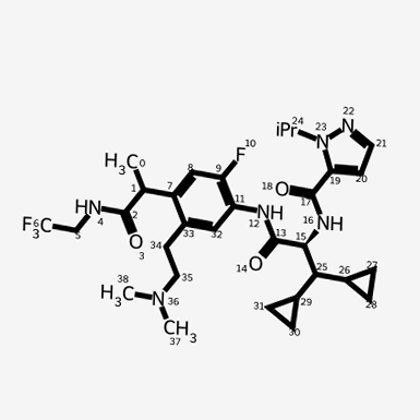 CC(C(=O)NCC(F)(F)F)c1cc(F)c(NC(=O)[C@@H](NC(=O)c2ccnn2C(C)C)C(C2CC2)C2CC2)cc1CCN(C)C